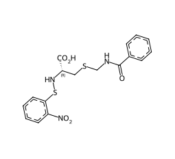 O=C(NCSC[C@H](NSc1ccccc1[N+](=O)[O-])C(=O)O)c1ccccc1